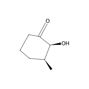 C[C@H]1CCCC(=O)[C@H]1O